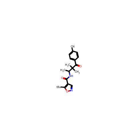 CC(NC(=O)c1cnoc1C(C)(C)C)C(C)(C)C(=O)c1ccc(C#N)cc1